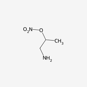 CC(CN)O[N+](=O)[O-]